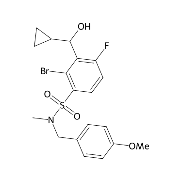 COc1ccc(CN(C)S(=O)(=O)c2ccc(F)c(C(O)C3CC3)c2Br)cc1